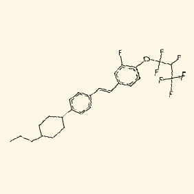 CCCC1CCC(c2ccc(C=Cc3ccc(OC(F)(F)C(F)C(F)(F)F)c(F)c3)cc2)CC1